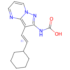 O=C(O)Nc1nn2cccnc2c1/C=C/C1CCCCC1